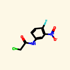 O=C(CCl)Nc1ccc(F)c([N+](=O)[O-])c1